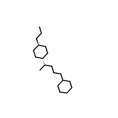 CCC[C@H]1CC[C@H](C(C)CCCC2CCCCC2)CC1